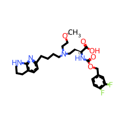 COCCN(CCCCc1ccc2c(n1)NCCC2)CC[C@H](NC(=O)OCc1ccc(F)c(F)c1)C(=O)O